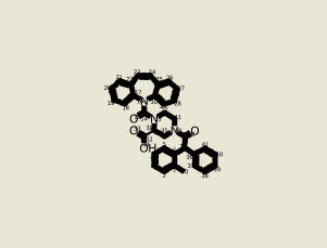 Cc1ccccc1C(C(=O)N1CCN(C(=O)N2c3ccccc3C=Cc3ccccc32)[C@H](C(=O)O)C1)c1ccccc1